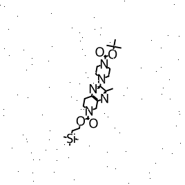 Cc1nc2c(nc1N1CCN(C(=O)OC(C)(C)C)CC1)CCN(C(=O)OCC[Si](C)(C)C)C2